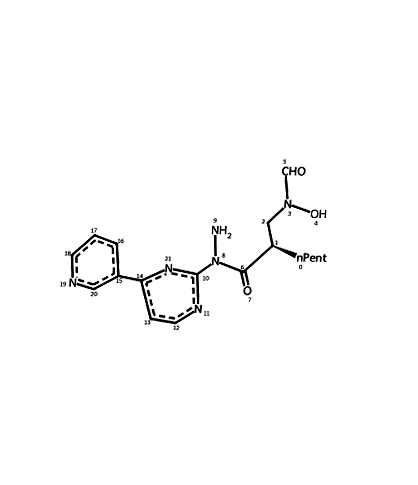 CCCCC[C@H](CN(O)C=O)C(=O)N(N)c1nccc(-c2cccnc2)n1